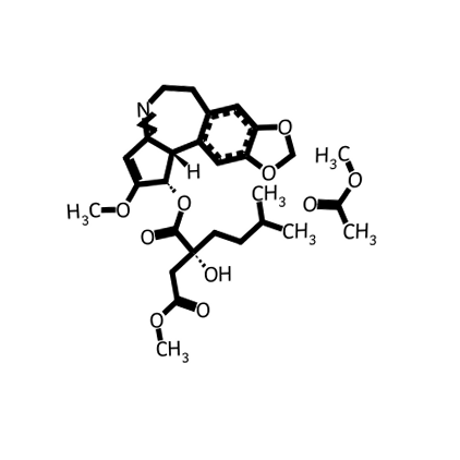 COC(=O)C[C@](O)(CCC(C)C)C(=O)O[C@@H]1C(OC)=C[C@]23CCCN2CCc2cc4c(cc2[C@H]13)OCO4.COC(C)=O